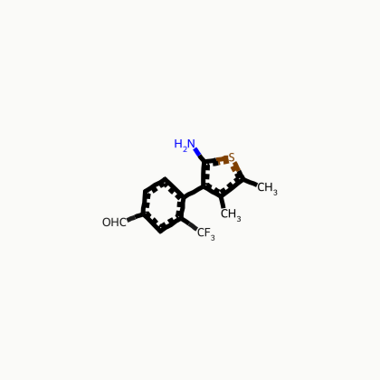 Cc1sc(N)c(-c2ccc(C=O)cc2C(F)(F)F)c1C